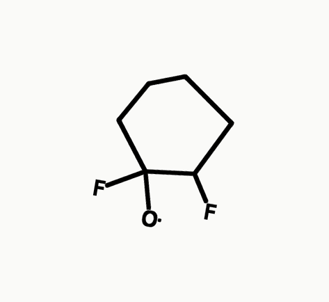 [O]C1(F)CCCCC1F